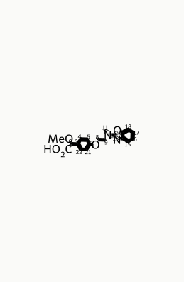 COC(C(=O)O)c1ccc(OCCN(C)c2nc3ccccc3o2)cc1